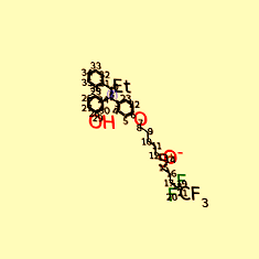 CC/C(=C(\c1ccc(OCCCCC[S+]([O-])CCCC(F)(F)C(F)(F)F)cc1)c1cccc(O)c1)c1ccccc1